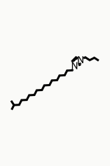 CCCCn1cc[n+](CCCCCCCCCCCCCCCC(C)C)c1